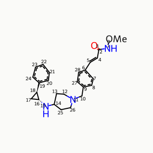 CONC(=O)/C=C/c1ccc(CN2CCC(N[C@@H]3C[C@H]3c3ccccc3)CC2)cc1